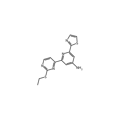 CCSc1nccc(-c2cc(N)cc(-c3nccs3)n2)n1